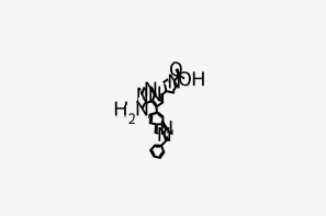 Nc1ncnn2c(C3CCN(C(=O)O)CC3)cc(-c3ccc4cn(Cc5ccccc5)nc4c3)c12